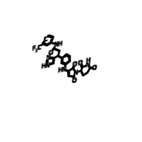 O=C1CCC(N2C(=O)C=C(Nc3cccc(C(CC(=O)Nc4cccc(C(F)(F)F)c4)c4c[nH]cn4)c3)C2=O)C(=O)N1